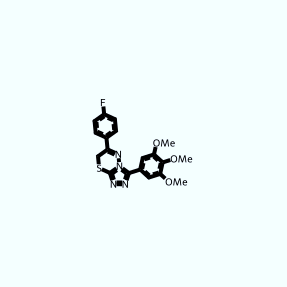 COc1cc(-c2nnc3n2N=C(c2ccc(F)cc2)CS3)cc(OC)c1OC